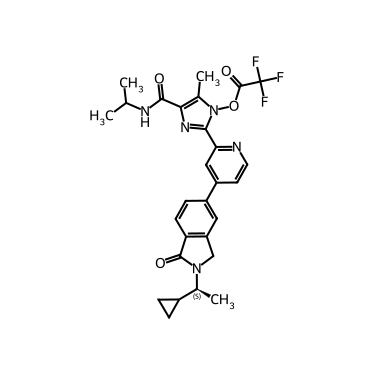 Cc1c(C(=O)NC(C)C)nc(-c2cc(-c3ccc4c(c3)CN([C@@H](C)C3CC3)C4=O)ccn2)n1OC(=O)C(F)(F)F